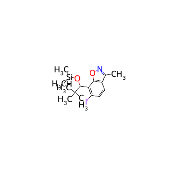 Cc1noc2c(C(O[SiH](C)C)C(C)(C)C)c(I)ccc12